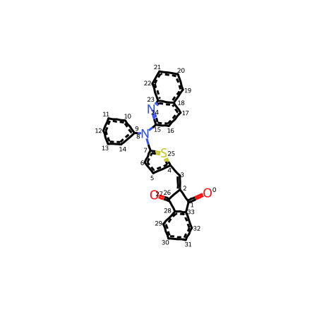 O=C1C(=Cc2ccc(N(c3ccccc3)c3ccc4ccccc4n3)s2)C(=O)c2ccccc21